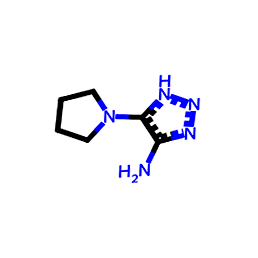 Nc1nn[nH]c1N1CCCC1